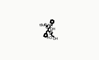 CC(C)(C)OC(=O)N[C@@H](Cc1ccccc1)C(O)CC(Cc1ccccc1)c1ncc(C(O)CO)s1